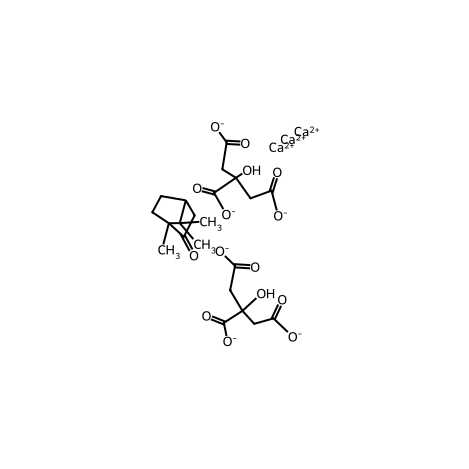 CC12CCC(CC1=O)C2(C)C.O=C([O-])CC(O)(CC(=O)[O-])C(=O)[O-].O=C([O-])CC(O)(CC(=O)[O-])C(=O)[O-].[Ca+2].[Ca+2].[Ca+2]